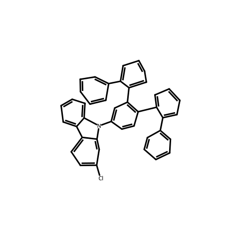 Clc1ccc2c3ccccc3n(-c3ccc(-c4ccccc4-c4ccccc4)c(-c4ccccc4-c4ccccc4)c3)c2c1